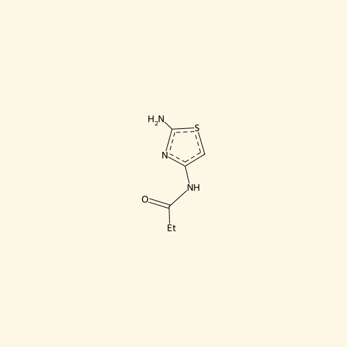 CCC(=O)Nc1csc(N)n1